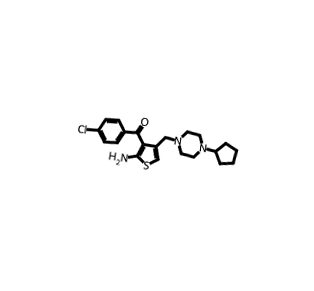 Nc1scc(CN2CCN(C3CCCC3)CC2)c1C(=O)c1ccc(Cl)cc1